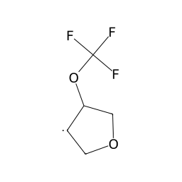 FC(F)(F)OC1[CH]COC1